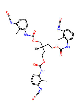 CCC(CCOC(=O)Nc1cccc(N=C=O)c1C)(CCOC(=O)Nc1cccc(N=C=O)c1C)COC(=O)Nc1cccc(N=C=O)c1C